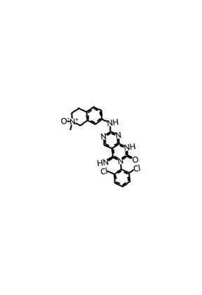 C[N+]1([O-])CCc2ccc(Nc3ncc4c(=N)n(-c5c(Cl)cccc5Cl)c(=O)[nH]c4n3)cc2C1